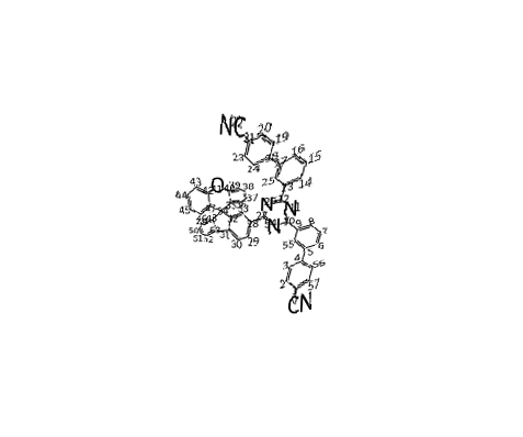 N#Cc1ccc(-c2cccc(-c3nc(-c4cccc(-c5ccc(C#N)cc5)c4)nc(-c4ccc5c(c4)C4(c6ccccc6Oc6ccccc64)c4ccccc4-5)n3)c2)cc1